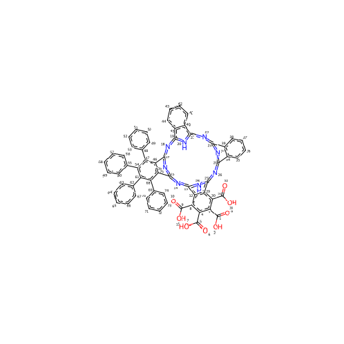 O=C(O)c1c(C(=O)O)c(C(=O)O)c2c3nc4nc(nc5[nH]c(nc6nc(nc([nH]3)c2c1C(=O)O)-c1ccccc1-6)c1ccccc51)-c1c(-c2ccccc2)c(-c2ccccc2)c(-c2ccccc2)c(-c2ccccc2)c1-4